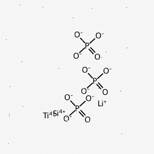 O=P([O-])([O-])[O-].O=P([O-])([O-])[O-].O=P([O-])([O-])[O-].[Li+].[Si+4].[Ti+4]